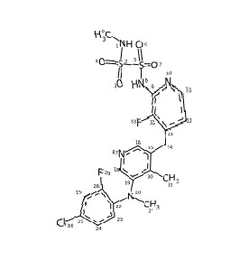 CNS(=O)(=O)S(=O)(=O)Nc1nccc(Cc2cncc(N(C)c3ccc(Cl)cc3F)c2C)c1F